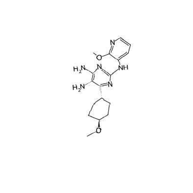 COc1ncccc1Nc1nc(N)c(N)c([C@H]2CC[C@H](OC)CC2)n1